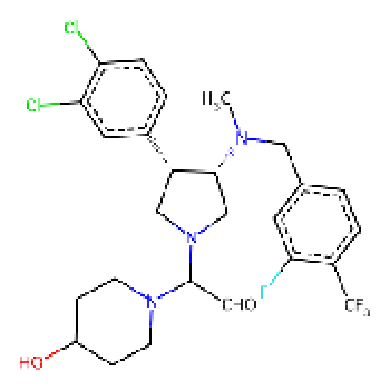 CN(Cc1ccc(C(F)(F)F)c(F)c1)[C@@H]1CN(C(C=O)N2CCC(O)CC2)C[C@@H]1c1ccc(Cl)c(Cl)c1